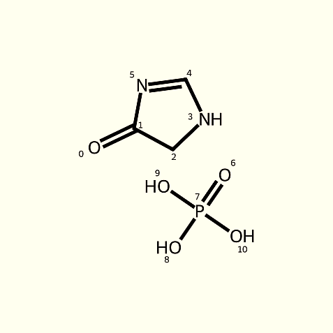 O=C1CNC=N1.O=P(O)(O)O